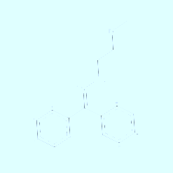 CNCCON=C(c1ccccc1)c1ccccc1